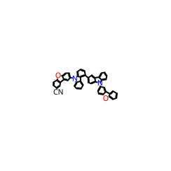 N#Cc1ccc2oc3ccc(-n4c5ccccc5c5c(-c6ccc7c(c6)c6ccccc6n7-c6ccc7oc8ccccc8c7c6)cccc54)cc3c2c1